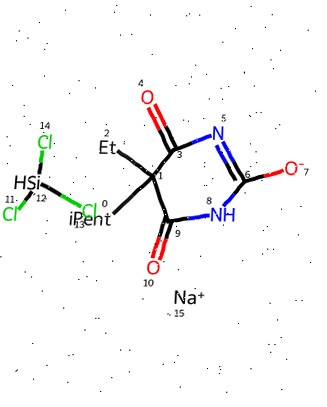 CCCC(C)C1(CC)C(=O)N=C([O-])NC1=O.Cl[SiH](Cl)Cl.[Na+]